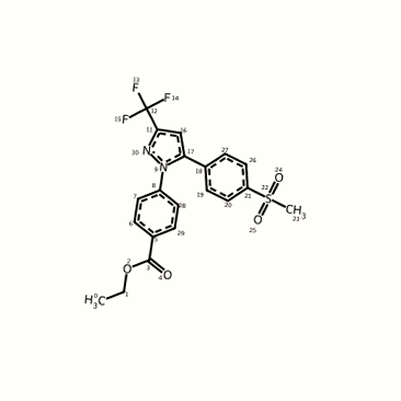 CCOC(=O)c1ccc(-n2nc(C(F)(F)F)cc2-c2ccc(S(C)(=O)=O)cc2)cc1